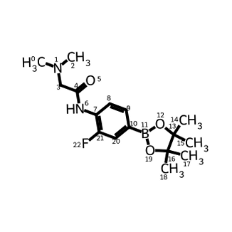 CN(C)CC(=O)Nc1ccc(B2OC(C)(C)C(C)(C)O2)cc1F